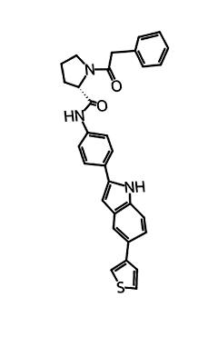 O=C(Nc1ccc(-c2cc3cc(-c4ccsc4)ccc3[nH]2)cc1)[C@@H]1CCCN1C(=O)Cc1ccccc1